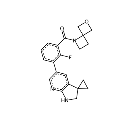 O=C(c1cccc(-c2cnc3c(c2)C2(CC2)CN3)c1F)N1CCC12COC2